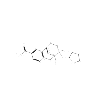 C[N+]1(C[C@@H]2CCCO2)CC[C@]23CCCCC2[C@H]1Cc1ccc(C(N)=O)cc13